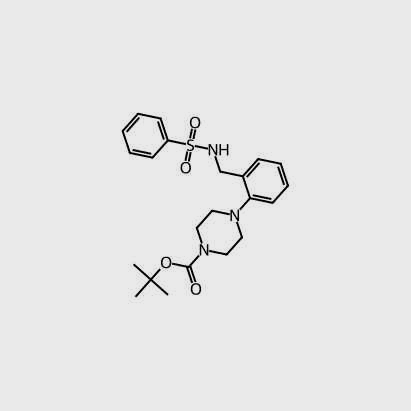 CC(C)(C)OC(=O)N1CCN(c2ccccc2CNS(=O)(=O)c2ccccc2)CC1